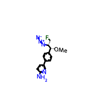 CO[C@H](c1ccc(-c2ccc(N)nc2)cc1)[C@@H](CF)N=[N+]=[N-]